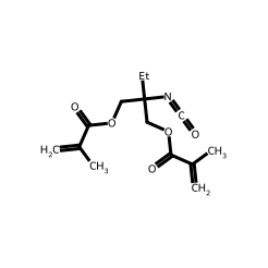 C=C(C)C(=O)OCC(CC)(COC(=O)C(=C)C)N=C=O